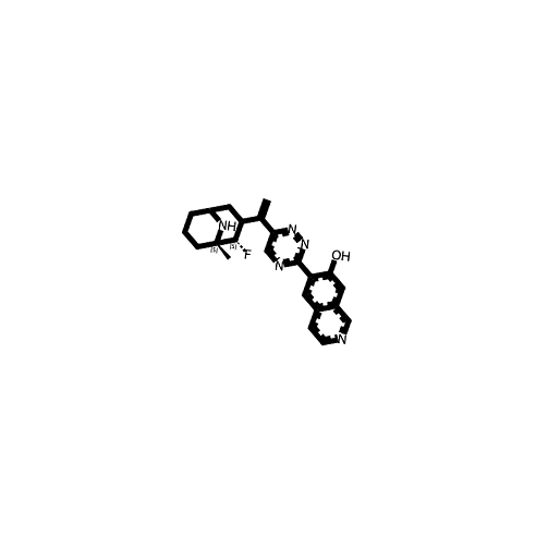 C=C(c1cnc(-c2cc3ccncc3cc2O)nn1)C1CC2CCC[C@](C)(N2)[C@H]1F